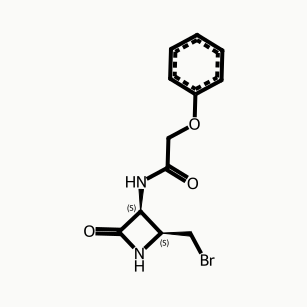 O=C(COc1ccccc1)N[C@@H]1C(=O)N[C@@H]1CBr